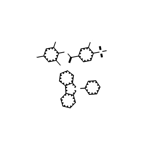 O=C(Oc1c(I)cc(I)cc1I)c1ccc(S(=O)(=O)[O-])c(O)c1.c1ccc(-[s+]2c3ccccc3c3ccccc32)cc1